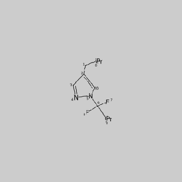 CC(C)Cc1cnn(C(F)(F)C(C)C)c1